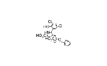 O=C(/C=C1\CC(C(=O)O)(C(=O)O)NC1c1cc(Cl)cc(Cl)c1O)OCc1ccccc1